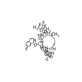 C[C@@H]1CC/C=C\[C@H]2C[C@@]2(C(=O)NS(=O)(=O)C2CC2)NC(=O)[C@@H]2C[C@@H](Oc3nccc4ccc(F)cc34)CN2C(=O)[C@@H](NC(=O)OC(C)(C)C(F)(F)F)[C@H](C)C1